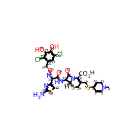 CN1C=CC(SCC2=C(C(=O)O)N3C(=O)C(NC(=O)/C(=N\OCc4cc(Cl)c(O)c(O)c4Cl)c4csc(N)n4)[C@@H]3SC2)=CC1